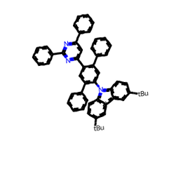 CC(C)(C)c1ccc2c(c1)c1cc(C(C)(C)C)ccc1n2-c1cc(-c2ccccc2)c(-c2cc(-c3ccccc3)nc(-c3ccccc3)n2)cc1-c1ccccc1